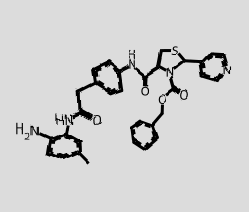 Cc1ccc(N)c(NC(=O)Cc2ccc(NC(=O)C3CSC(c4ccncc4)N3C(=O)OCc3ccccc3)cc2)c1